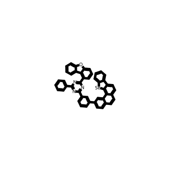 c1ccc(-c2nc(-c3cccc(-c4ccc5ccc6ccc7c8ccccc8[se]c7c6c5c4)c3)nc(-c3cccc4oc5ccccc5c34)n2)cc1